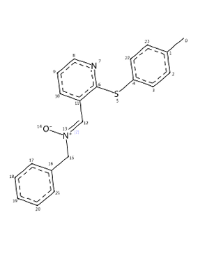 Cc1ccc(Sc2ncccc2/C=[N+](\[O-])Cc2ccccc2)cc1